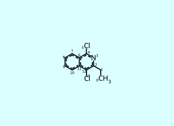 CCc1nc(Cl)c2ccccc2c1Cl